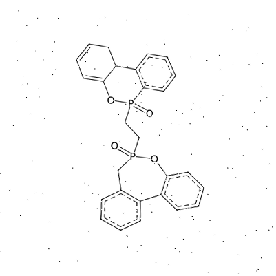 O=P1(CCP2(=O)OC3=CC=CCC3c3ccccc32)Cc2ccccc2-c2ccccc2O1